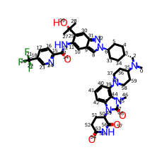 CN(C[C@H]1CC[C@H](n2cc3cc(NC(=O)c4ccc(C(F)(F)F)cn4)c(C(C)(C)O)cc3n2)CC1)C1CCN(c2cccc3c2n(C)c(=O)n3C2CCC(=O)NC2=O)CC1